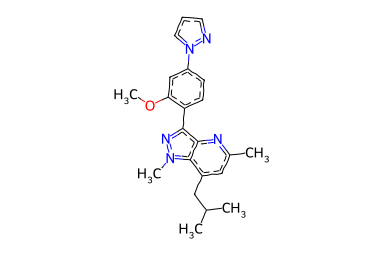 COc1cc(-n2cccn2)ccc1-c1nn(C)c2c(CC(C)C)cc(C)nc12